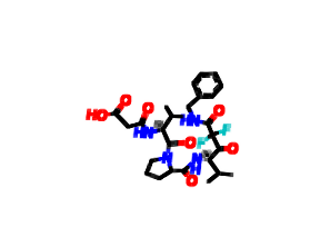 CC(C)[C@H](NC(=O)CC(=O)O)C(=O)N1CCCC1C(=O)N[C@H](C(=O)C(F)(F)C(=O)NCc1ccccc1)C(C)C